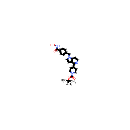 CC(C)(C)OC(=O)N1CC=C(c2nccc3c2ccn3Cc2ccc(C(=O)NO)cc2)CC1